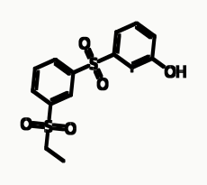 CCS(=O)(=O)c1cccc(S(=O)(=O)c2[c]c(O)ccc2)c1